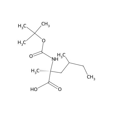 CCC(C)C[C@](C)(NC(=O)OC(C)(C)C)C(=O)O